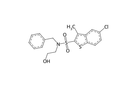 Cc1c(S(=O)(=O)N(CCO)Cc2ccccc2)sc2ccc(Cl)cc12